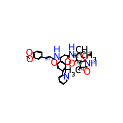 CC(C)[C@H](NC(=O)CC(NC(=O)/C=C/c1ccc2c(c1)OCO2)c1ccc(-c2ccccn2)cc1)C(=O)[C@@H]1C(=O)NC(=O)[C@H]1C